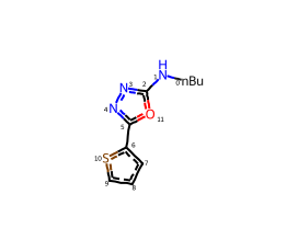 CCCCNc1nnc(-c2cccs2)o1